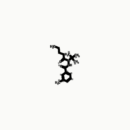 CCCCC(=O)N(NC(=O)c1cccc(C)c1)C(C)(C)C